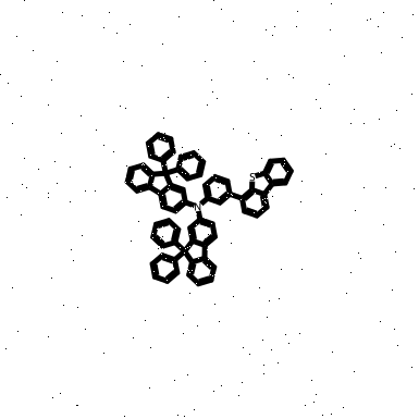 c1ccc(C2(c3ccccc3)c3ccccc3-c3ccc(N(c4cccc(-c5cccc6c5sc5ccccc56)c4)c4ccc5c(c4)C(c4ccccc4)(c4ccccc4)c4ccccc4-5)cc32)cc1